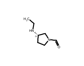 CCN[C@H]1CCN(C=O)C1